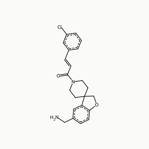 NCc1ccc2c(c1)C1(CCN(C(=O)C=Cc3cccc(Cl)c3)CC1)CO2